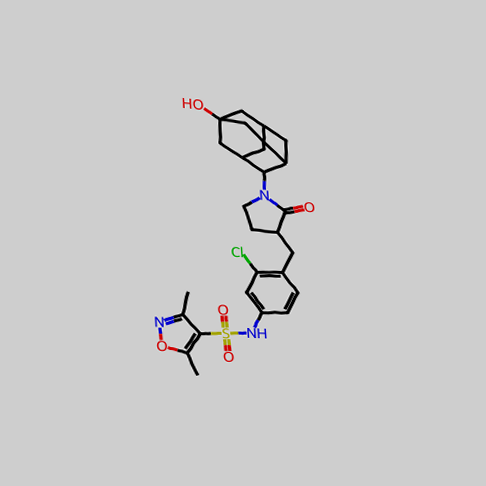 Cc1noc(C)c1S(=O)(=O)Nc1ccc(CC2CCN(C3C4CC5CC3CC(O)(C5)C4)C2=O)c(Cl)c1